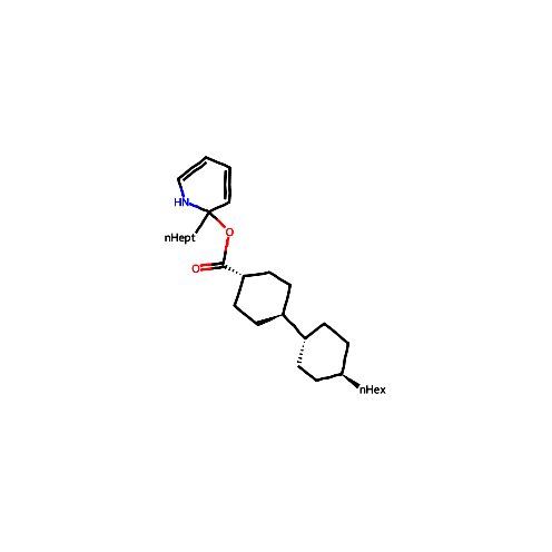 CCCCCCCC1(OC(=O)[C@H]2CC[C@H]([C@H]3CC[C@H](CCCCCC)CC3)CC2)C=CC=CN1